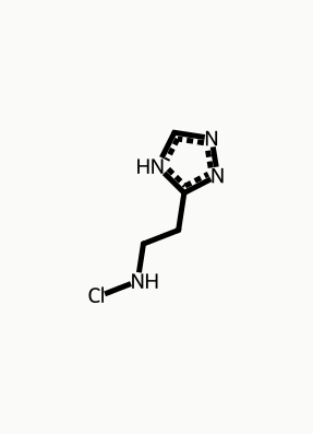 ClNCCc1nnc[nH]1